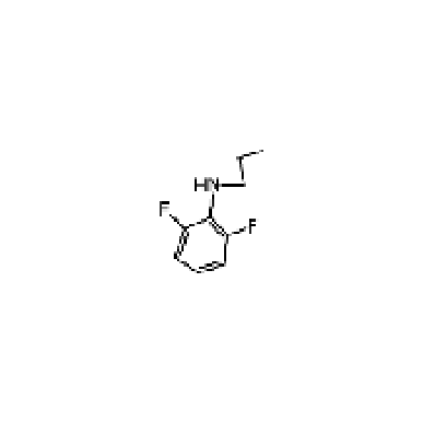 CCCNc1c(F)cccc1F